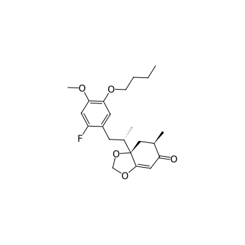 CCCCOc1cc(C[C@H](C)[C@]23C[C@@H](C)C(=O)C=C2OCO3)c(F)cc1OC